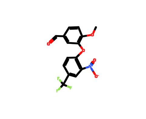 COc1ccc(C=O)cc1Oc1ccc(C(F)(F)F)cc1[N+](=O)[O-]